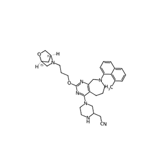 Cc1cccc2cccc(N3CCCc4c(nc(OCCCN5C[C@@H]6C[C@H]5CO6)nc4N4CCNC(CC#N)C4)C3)c12